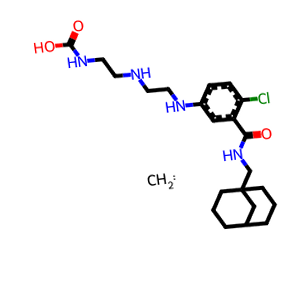 O=C(O)NCCNCCNc1ccc(Cl)c(C(=O)NCC23CCCC(CCC2)C3)c1.[CH2]